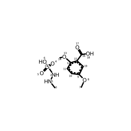 CNNS(=O)(=O)O.COc1ccc(OC)c(C(=O)O)c1